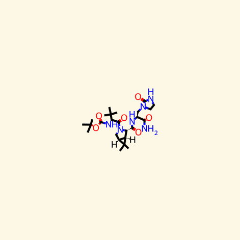 CC(C)(C)OC(=O)N[C@H](C(=O)N1C[C@H]2[C@@H]([C@H]1C(=O)N[C@@H](CN1CCNC1=O)C(N)=O)C2(C)C)C(C)(C)C